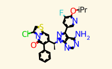 CC(C)Oc1ncc(-c2nn([C@@H](C)c3cc4scc(Cl)n4c(=O)c3-c3ccccc3)c3ncnc(N)c23)cc1F